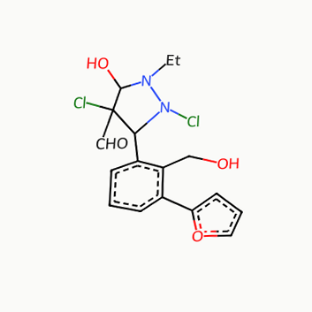 CCN1C(O)C(Cl)(C=O)C(c2cccc(-c3ccco3)c2CO)N1Cl